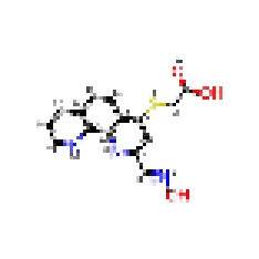 O=C(O)CSc1cc(/C=N/O)nc2c1ccc1cccnc12